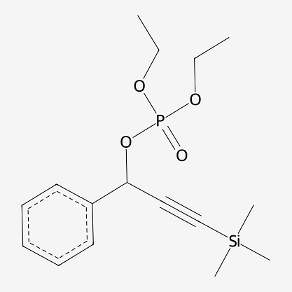 CCOP(=O)(OCC)OC(C#C[Si](C)(C)C)c1ccccc1